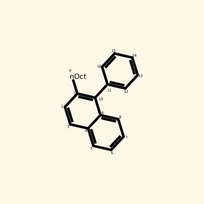 CCCCCCCCc1ccc2ccccc2c1-c1ccccc1